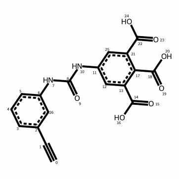 C#Cc1cccc(NC(=O)Nc2cc(C(=O)O)c(C(=O)O)c(C(=O)O)c2)c1